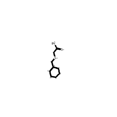 CC(C)C(=O)CSCC1CCCCC1